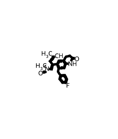 CC(C)=C/C(=C\N(C)C=O)c1cc2c(cc1Cc1ccc(F)cc1)NC(=O)CC2